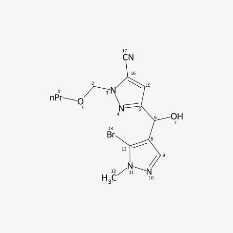 CCCOCn1nc(C(O)c2cnn(C)c2Br)cc1C#N